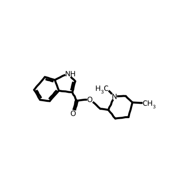 CC1CCC(COC(=O)c2c[nH]c3ccccc23)N(C)C1